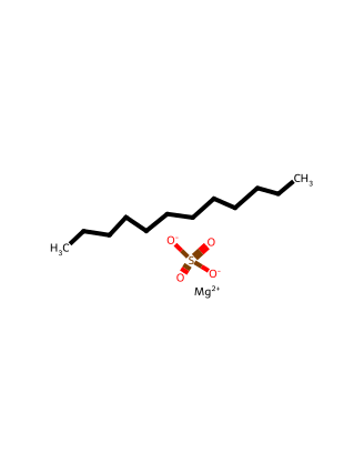 CCCCCCCCCCCC.O=S(=O)([O-])[O-].[Mg+2]